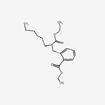 CCCCCCN(Cc1ccccc1C(=O)OCC)C(=O)OCC